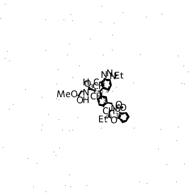 CC[C@@H]1CN(Cc2cc([C@@H](c3ccc4c(nnn4CC)c3C)C(C)(C)C(=O)NCC(=O)OC)ccc2C)S(=O)(=O)c2ccccc2O1